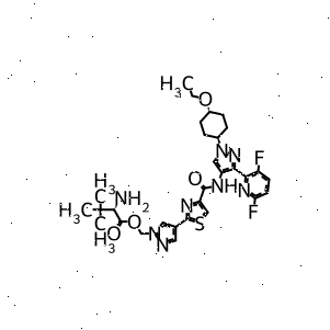 CCO[C@H]1CC[C@H](n2cc(NC(=O)c3csc(-c4cnn(COC(=O)[C@@H](N)C(C)(C)C)c4)n3)c(-c3nc(F)ccc3F)n2)CC1